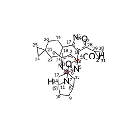 Cc1cc(C(=O)O)nc(N2C3CC[C@H]2C[C@H](OCc2c(C4CCC5(CC4)CC5)noc2C2CC2)C3)n1